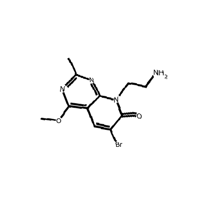 COc1nc(C)nc2c1cc(Br)c(=O)n2CCN